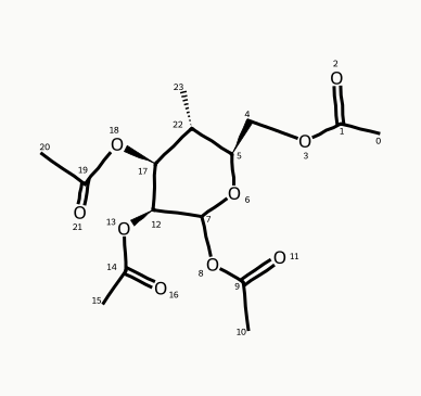 CC(=O)OC[C@H]1OC(OC(C)=O)[C@@H](OC(C)=O)[C@@H](OC(C)=O)[C@@H]1C